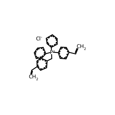 C=Cc1ccc(C[P+](c2ccccc2)(c2ccccc2)c2ccc(C=C)cc2)cc1.[Cl-]